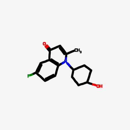 Cc1cc(=O)c2cc(F)ccc2n1C1CCC(O)CC1